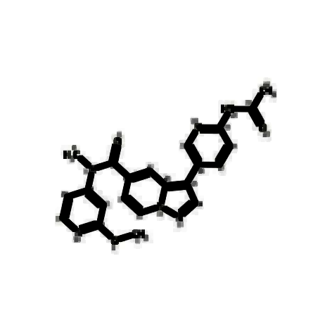 COc1cc(N(C)C(=O)c2ccn3ncc(-c4ccc(NC(C)=O)nc4)c3c2)ccn1